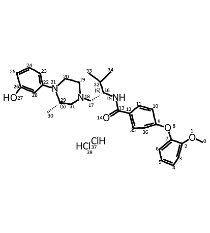 COc1ccccc1Oc1ccc(C(=O)N[C@H](CN2CCN(c3cccc(O)c3)[C@@H](C)C2)C(C)C)cc1.Cl.Cl